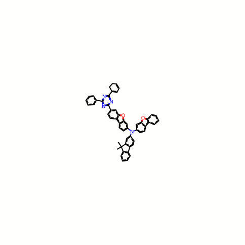 CC1(C)c2ccccc2-c2ccc(N(c3ccc4c(c3)oc3ccccc34)c3ccc4c(c3)oc3cc(-c5nc(C6=CC=CCC6)nc(-c6ccccc6)n5)ccc34)cc21